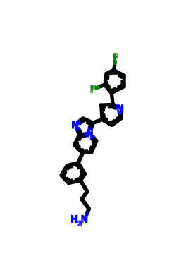 NCCCc1cccc(-c2ccn3c(-c4ccnc(-c5ccc(F)cc5F)c4)cnc3c2)c1